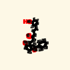 O=C(CCCc1cccc(O)c1)CCC1(CCc2ccccc2)C(=O)CCC1=O